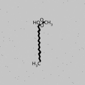 CCCC/C=C/CCCCCCCC/C=C/CC(O)OC(C)=O